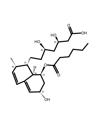 CCCCCC(=O)O[C@H]1C[C@H](O)C=C2C=C[C@H](C)[C@H](CC[C@@H](O)C[C@@H](O)CC(=O)O)[C@H]21